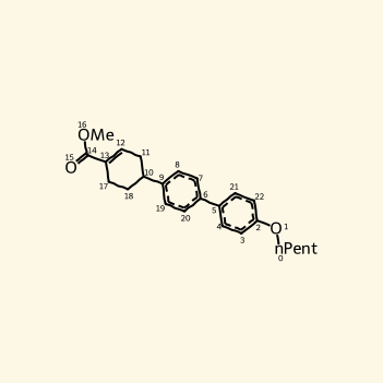 CCCCCOc1ccc(-c2ccc(C3CC=C(C(=O)OC)CC3)cc2)cc1